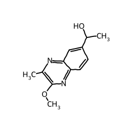 COc1nc2ccc(C(C)O)cc2nc1C